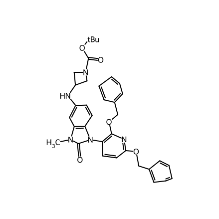 Cn1c(=O)n(-c2ccc(OCc3ccccc3)nc2OCc2ccccc2)c2ccc(NC3CN(C(=O)OC(C)(C)C)C3)cc21